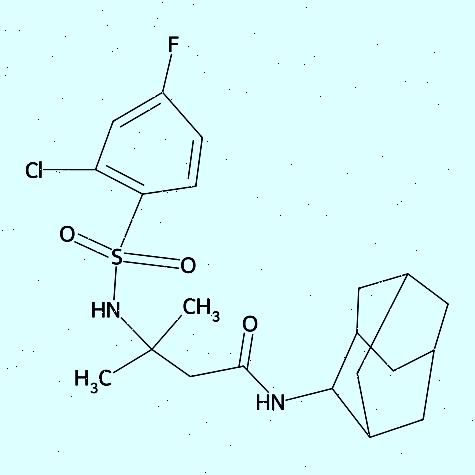 CC(C)(CC(=O)NC1C2CC3CC(C2)CC1C3)NS(=O)(=O)c1ccc(F)cc1Cl